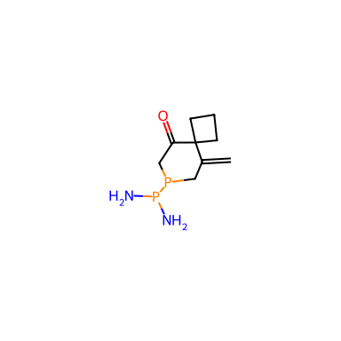 C=C1CP(P(N)N)CC(=O)C12CCC2